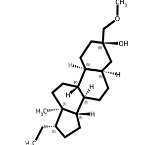 CC[C@H]1CC[C@H]2[C@@H]3CC[C@@H]4C[C@@](O)(COC)CC[C@@H]4[C@H]3CC[C@]12C